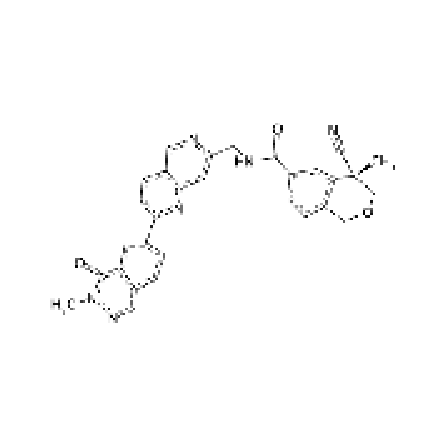 Cn1ncc2ccc(-c3ccc4cnc(CNC(=O)c5ccc6c(c5)[C@](C)(C#N)COC6)cc4n3)cc2c1=O